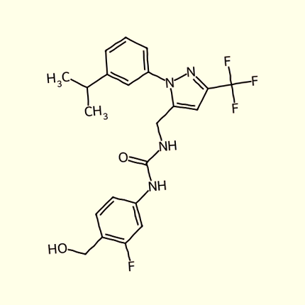 CC(C)c1cccc(-n2nc(C(F)(F)F)cc2CNC(=O)Nc2ccc(CO)c(F)c2)c1